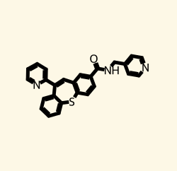 O=C(NCc1ccncc1)c1ccc2c(c1)C=C(c1ccccn1)c1ccccc1S2